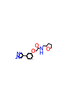 Cn1cc(-c2c[c]cc(OCC(=O)NCC3CCCO3)c2)cn1